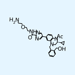 CC(=O)N1c2ccc(-c3cnc(C(=O)NCCOCCN)nc3)cc2N(Cc2ccccc2CO)C[C@@H]1C1CC1